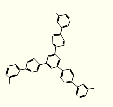 N#Cc1cncc(-c2ccc(-c3cc(-c4ccc(-c5cncc(C#N)c5)nc4)cc(-c4ccc(-c5cncc(C#N)c5)nc4)c3)cn2)c1